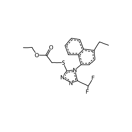 CCOC(=O)CSc1nnc(C(F)F)n1-c1ccc(CC)c2ccccc12